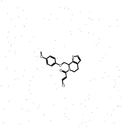 COc1ccc(OCC2c3sccc3CCN2C(=O)/C=C/Cl)cc1